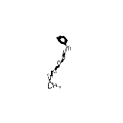 COCCOCCOP=NPc1ccccc1